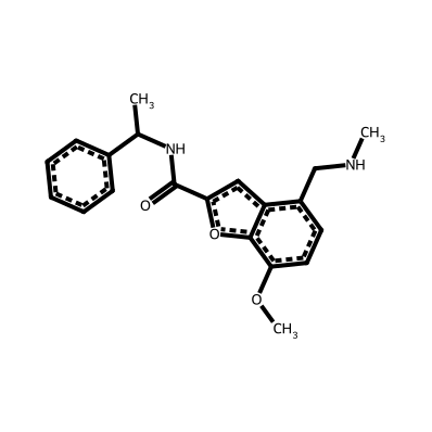 CNCc1ccc(OC)c2oc(C(=O)NC(C)c3ccccc3)cc12